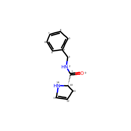 O=C(NCc1ccccc1)[C@@H]1CC=CN1